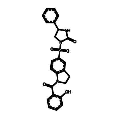 O=C(c1ccccc1O)N1CCc2cc(S(=O)(=O)N3CC(c4ccccc4)NC3=O)ccc21